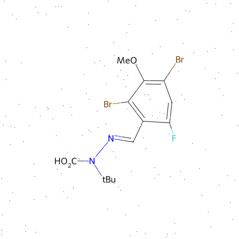 COc1c(Br)cc(F)c(C=NN(C(=O)O)C(C)(C)C)c1Br